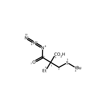 CCC(CSC(C)(C)C)(C(=O)O)C(=O)N=[N+]=[N-]